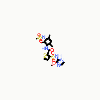 COc1nccnc1NS(=O)(=O)c1ccsc1C(=O)Nc1c(C)cc(C)c(NS(C)(=O)=O)c1C